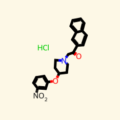 Cl.O=C(CN1CCC(Oc2cccc([N+](=O)[O-])c2)CC1)c1ccc2ccccc2c1